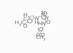 COC(=O)c1cc(CNC(=O)c2cc(CN[C@H]3CCc4c3ccc(C(C)=O)c4C)n3nccc3n2)cs1